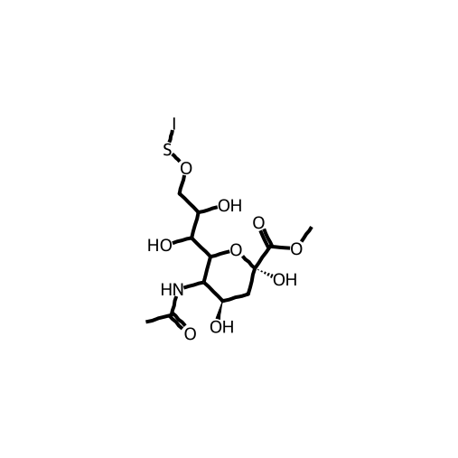 COC(=O)[C@@]1(O)C[C@@H](O)C(NC(C)=O)C(C(O)C(O)COSI)O1